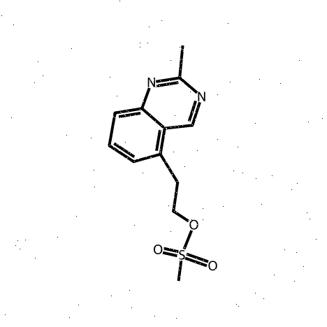 Cc1ncc2c(CCOS(C)(=O)=O)cccc2n1